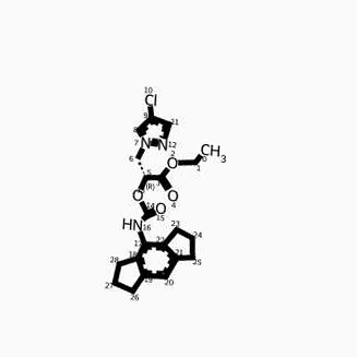 CCOC(=O)[C@@H](Cn1cc(Cl)cn1)OC(=O)Nc1c2c(cc3c1CCC3)CCC2